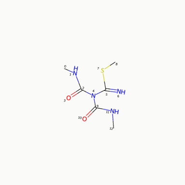 CNC(=O)N(C(=N)SC)C(=O)NC